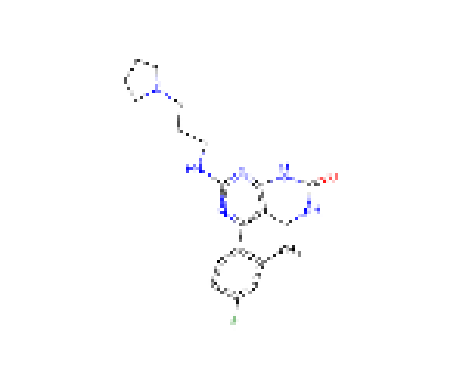 Cc1cc(F)ccc1-c1nc(NCCCN2CCCC2)nc2c1CNC(=O)N2